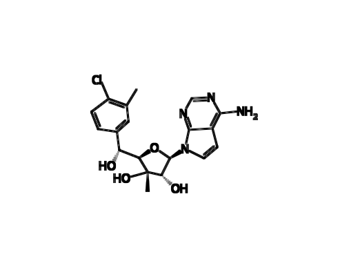 Cc1cc([C@@H](O)[C@H]2O[C@@H](n3ccc4c(N)ncnc43)[C@H](O)[C@]2(C)O)ccc1Cl